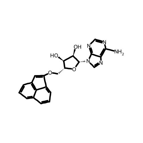 Nc1ncnc2c1ncn2[C@@H]1O[C@H](COC2=Cc3cccc4cccc2c34)[C@@H](O)[C@H]1O